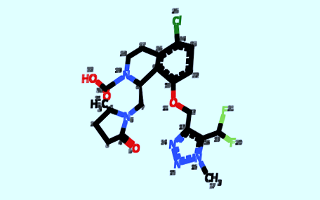 C[C@H]1CCC(=O)N1C[C@@H]1c2c(OCc3nnn(C)c3C(F)F)ccc(Cl)c2CCN1C(=O)O